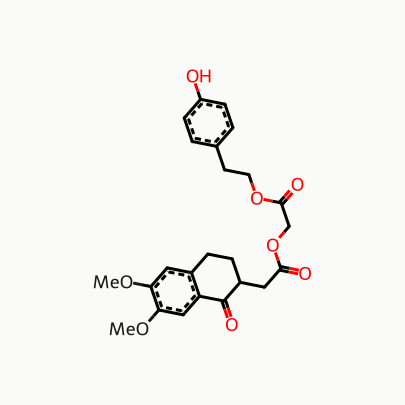 COc1cc2c(cc1OC)C(=O)C(CC(=O)OCC(=O)OCCc1ccc(O)cc1)CC2